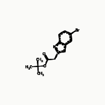 CC(C)(C)OC(=O)Cn1cc2cc(Br)ccc2n1